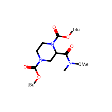 CON(C)C(=O)C1CN(C(=O)OC(C)(C)C)CCN1C(=O)OC(C)(C)C